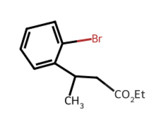 CCOC(=O)CC(C)c1ccccc1Br